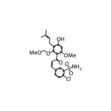 COCOc1c(CC=C(C)C)c(O)cc(OC)c1C(=O)/C=C\c1ccc(Cl)c(S(N)(=O)=O)c1